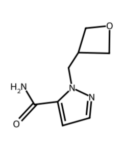 NC(=O)c1ccnn1CC1COC1